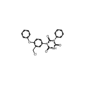 O=c1[nH]c(=O)n(-c2ccc(Oc3ccccc3)c(CCl)c2)c(=O)n1-c1ccccc1